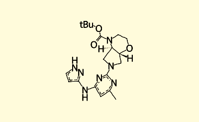 Cc1cc(Nc2cc[nH]n2)nc(N2C[C@@H]3[C@@H](C2)OCCN3C(=O)OC(C)(C)C)n1